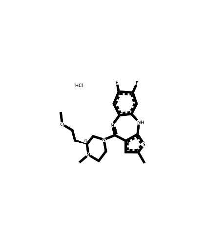 COCC[C@H]1CN(C2=Nc3cc(F)c(F)cc3Nc3sc(C)cc32)CCN1C.Cl